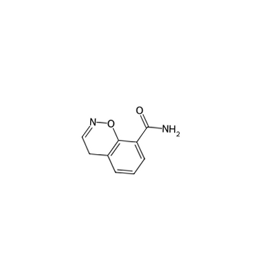 NC(=O)c1cccc2c1ON=CC2